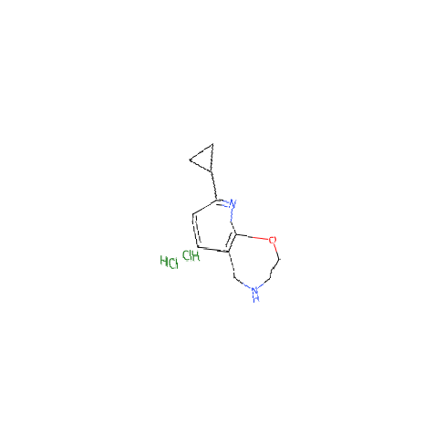 Cl.Cl.c1cc2c(nc1C1CC1)OCCNC2